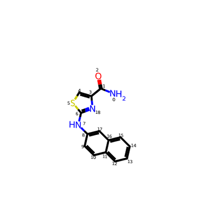 NC(=O)c1csc(Nc2ccc3ccccc3c2)n1